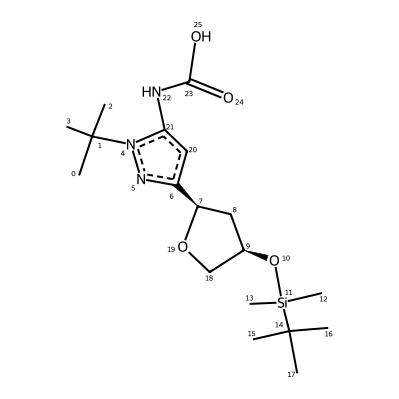 CC(C)(C)n1nc([C@H]2C[C@@H](O[Si](C)(C)C(C)(C)C)CO2)cc1NC(=O)O